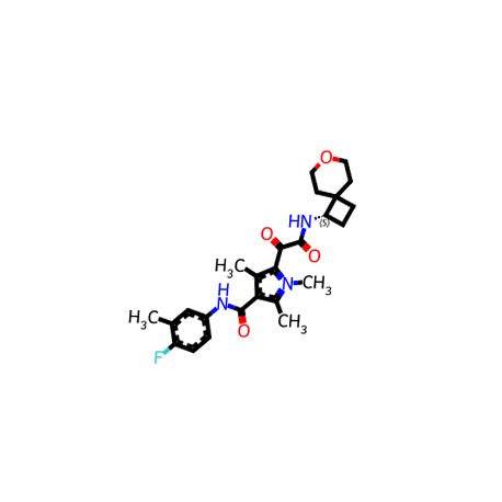 Cc1cc(NC(=O)c2c(C)c(C(=O)C(=O)N[C@H]3CCC34CCOCC4)n(C)c2C)ccc1F